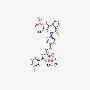 Cc1nc(N2CCCC2C(=O)Nc2ccc(CCN(CC(O)c3cccc(Cl)c3)C(=O)OC(C)(C)C)cc2)sc1C(=O)O